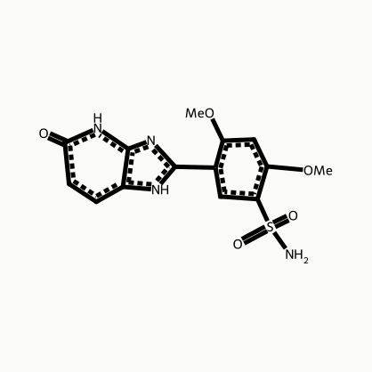 COc1cc(OC)c(S(N)(=O)=O)cc1-c1nc2[nH]c(=O)ccc2[nH]1